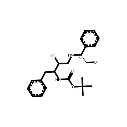 CC(C)(C)OC(=O)NC(Cc1ccccc1)C(O)CN[C@@H](CO)c1ccccc1